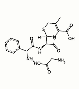 CC1=C(C(=O)O)N2C(=O)[C@@H](NC(=O)[C@H](N)c3ccccc3)[C@H]2SC1.NCC(=O)O